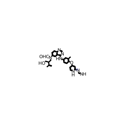 C=C(C)C(CO)CN(C=O)c1ccc2ncnc(Nc3ccc(Oc4cc[nH]/c(=N\C=N)c4)c(C)c3)c2c1